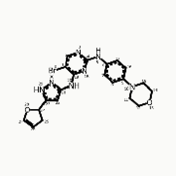 Brc1cnc(Nc2ccc(N3CCOCC3)cc2)nc1Nc1cc(C2CC=CO2)[nH]n1